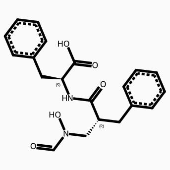 O=CN(O)C[C@@H](Cc1ccccc1)C(=O)N[C@@H](Cc1ccccc1)C(=O)O